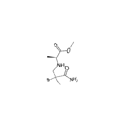 COC(=O)[C@H](C)NCC(C)(Br)C(N)=O